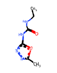 CCNC(=O)Nc1nnc(C)o1